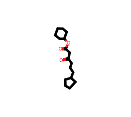 O=C(CCCC1CCCC1)CC(=O)OC1CCCCC1